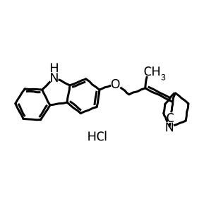 C/C(COc1ccc2c(c1)[nH]c1ccccc12)=C1/CN2CCC1CC2.Cl